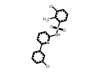 Cc1c(Cl)cccc1S(=O)(=O)Nc1cccc(-c2cccc(Cl)c2)n1